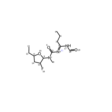 CCC/C(=N\C(=O)N(C)C1OC(CC)CC1F)NC=O